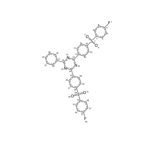 O=S(=O)(c1ccc(F)cc1)c1ccc(-c2nc(-c3ccccc3)nc(-c3ccc(S(=O)(=O)c4ccc(F)cc4)cc3)n2)cc1